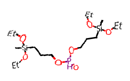 CCO[Si](C)(CCCO[PH](=O)OCCC[Si](C)(OCC)OCC)OCC